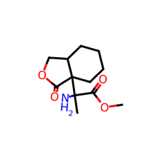 COC(=O)C(C)(N)C12CCCCC1COC2=O